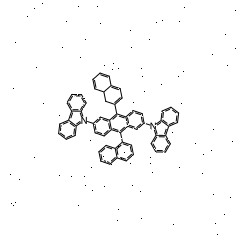 C1=CC2=CC=C(c3c4cc(-n5c6ccccc6c6ccccc65)ccc4c(-c4cccc5ccccc45)c4cc(-n5c6ccccc6c6ccccc65)ccc34)CC2C=C1